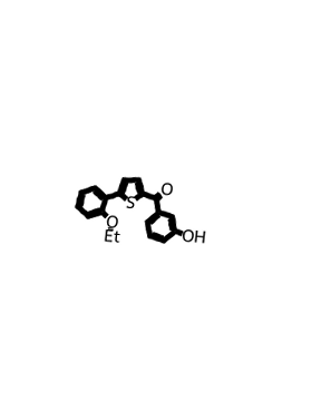 CCOc1ccccc1-c1ccc(C(=O)c2cccc(O)c2)s1